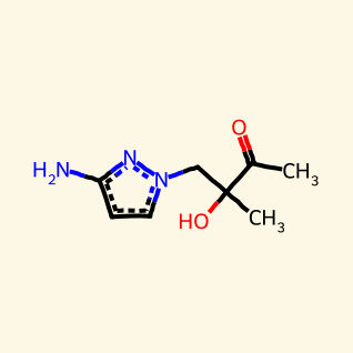 CC(=O)C(C)(O)Cn1ccc(N)n1